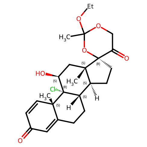 CCOC1(C)OCC(=O)[C@]2(CC[C@H]3[C@@H]4CCC5=CC(=O)C=C[C@]5(C)[C@@]4(Cl)[C@@H](O)C[C@@]32C)O1